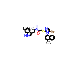 CCOC(=O)C(Cc1c[nH]c2ccccc12)NC(=O)CSc1ncc(Br)n1-c1ccc(C#N)c2ccccc12